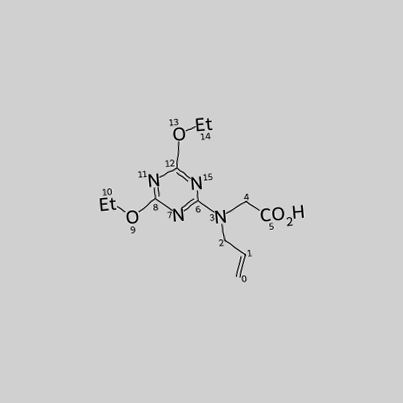 C=CCN(CC(=O)O)c1nc(OCC)nc(OCC)n1